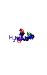 Cc1cc(C(=O)N[C@H](CNC(=O)C(C)(C)N)Cc2ccc(-c3cn4cccc(Br)c4n3)cc2)ccc1OC(C)C